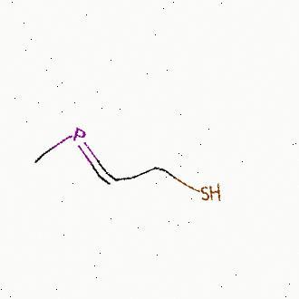 CP=CCS